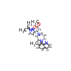 COC(=O)CC(c1ccn(C(C)C)n1)N1CCCN(c2c(C)ccc3cccnc23)CC1